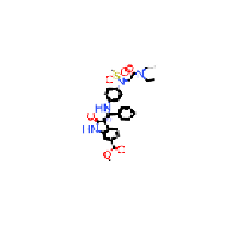 CCN(CC)C(=O)CN(c1ccc(N/C(=C2\C(=O)Nc3cc(C(=O)OC)ccc32)c2ccccc2)cc1)S(C)(=O)=O